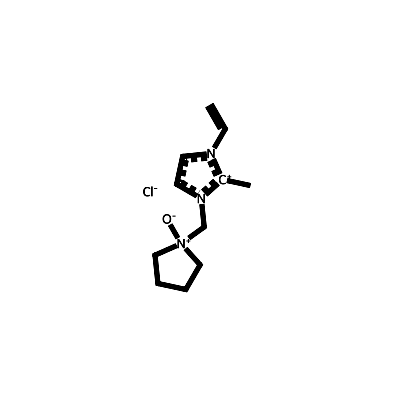 C=Cn1ccn(C[N+]2([O-])CCCC2)[c+]1C.[Cl-]